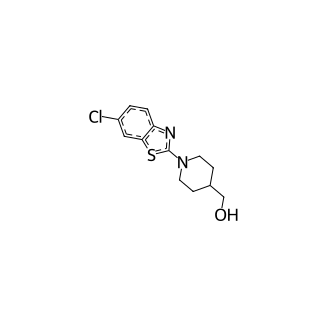 OCC1CCN(c2nc3ccc(Cl)cc3s2)CC1